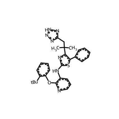 CC(C)(C)c1ccccc1Oc1ncccc1Nc1nc(C(C)(C)Cc2nn[nH]n2)c(-c2ccccc2)s1